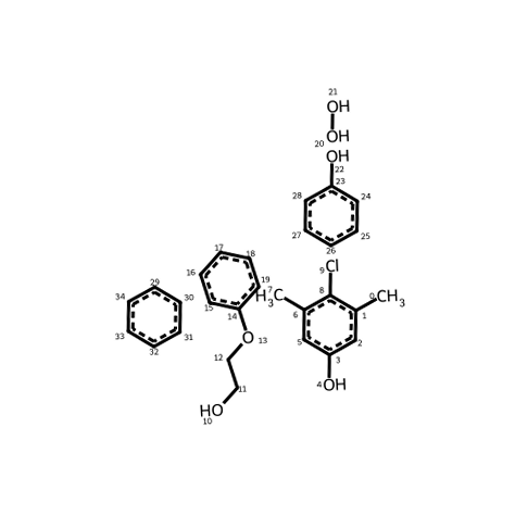 Cc1cc(O)cc(C)c1Cl.OCCOc1ccccc1.OO.Oc1ccccc1.c1ccccc1